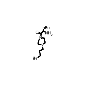 CCCCC(N)C(=O)N1CCN(CCCC(C)C)CC1